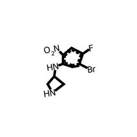 O=[N+]([O-])c1cc(F)c(Br)cc1NC1CNC1